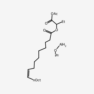 CC(C)[O][AlH2].CCCCCCCC/C=C\CCCCCCCC(=O)OC(CC)C(=O)OC(C)=O